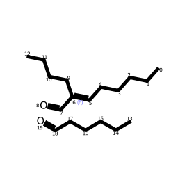 CCCCC/C=C(/C=O)CCCC.CCCCCC=O